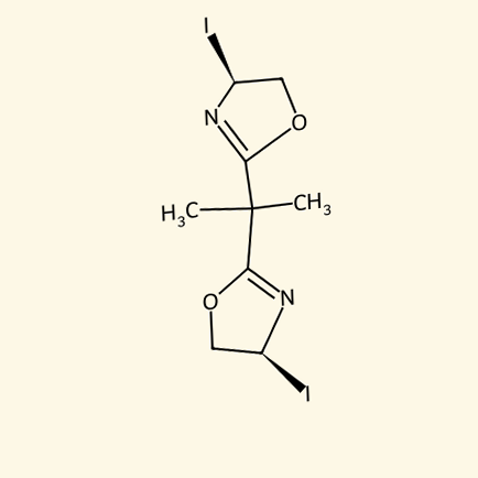 CC(C)(C1=N[C@@H](I)CO1)C1=N[C@@H](I)CO1